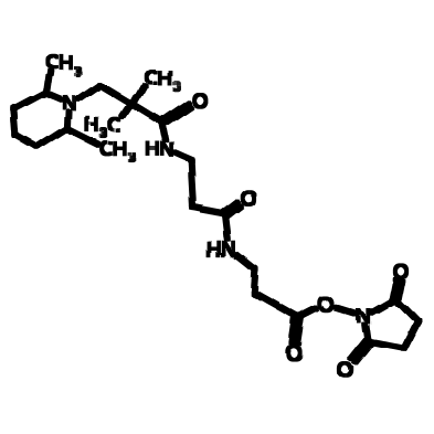 CC1CCCC(C)N1CC(C)(C)C(=O)NCCC(=O)NCCC(=O)ON1C(=O)CCC1=O